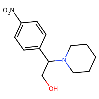 O=[N+]([O-])c1ccc(C(CO)N2CCCCC2)cc1